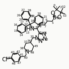 CC1(C)OB(CCCCC(NC(c2ccccc2)(c2ccccc2)c2ccccc2)c2nnnn2CC2CCN(Cc3ccc(Cl)cc3)CC2)OC1(C)C